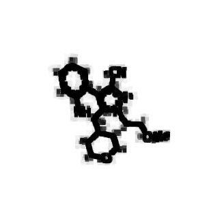 COCCn1nc(C#N)c(-c2ccccc2N)c1CC1CCOCC1